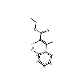 CCOC(=O)/C(F)=C(\C)c1ccccc1Cl